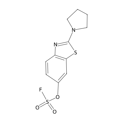 O=S(=O)(F)Oc1ccc2nc(N3CCCC3)sc2c1